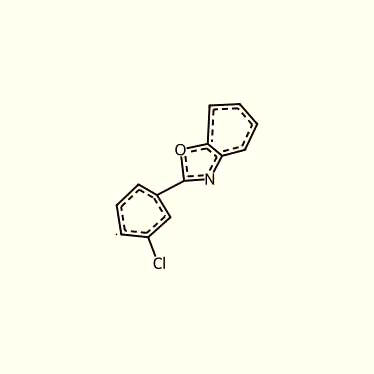 Clc1[c]ccc(-c2nc3ccccc3o2)c1